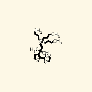 CCC[CH2][Sn](/[CH]=C/C(C)(C)c1ccsc1C1OCCO1)([CH2]CCC)[CH2]CCC